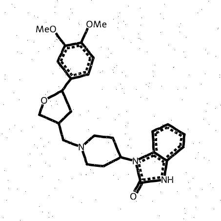 COc1ccc(C2CC(CN3CCC(n4c(=O)[nH]c5ccccc54)CC3)CO2)cc1OC